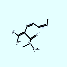 C/C=C\C=C/C(C(=O)N(C)OC)=C(CCC)CCC